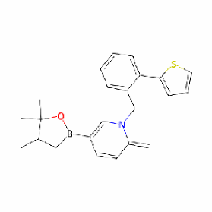 C=C1C=CC(B2CC(C)C(C)(C)O2)=CN1Cc1ccccc1-c1cccs1